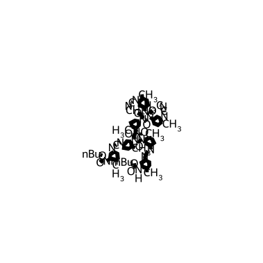 CCCCOC(=O)Nc1cc(N=C=Nc2ccc(C)c(-n3c(=O)n(-c4cc(N=C=Nc5ccc(C)c(NC(=O)OCCCC)c5)ccc4C)c(=O)n(-c4cc(-n5c(=O)n(-c6ccc(C)c(N=C=NC)c6)c(=O)n(-c6ccc(C)c(N=C=NC)c6)c5=O)ccc4C)c3=O)c2)ccc1C